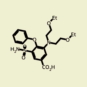 CCOCCN(CCOCC)c1cc(C(=O)O)cc(S(N)(=O)=O)c1Oc1ccccc1